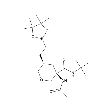 CC(=O)N[C@@]1(C(=O)NC(C)(C)C)COC[C@@H](CCB2OC(C)(C)C(C)(C)O2)C1